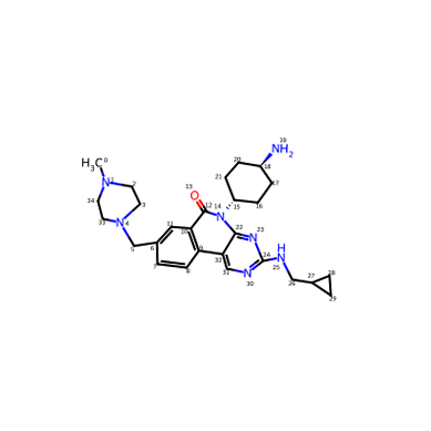 CN1CCN(Cc2ccc3c(c2)c(=O)n([C@H]2CC[C@H](N)CC2)c2nc(NCC4CC4)ncc32)CC1